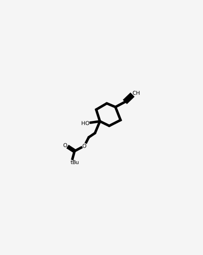 C#CC1CCC(O)(CCOC(=O)C(C)(C)C)CC1